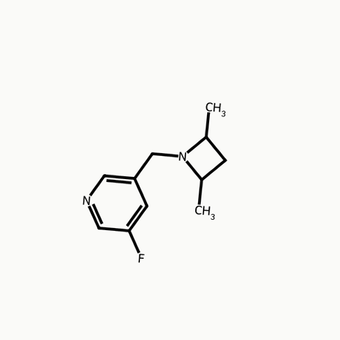 CC1CC(C)N1Cc1cncc(F)c1